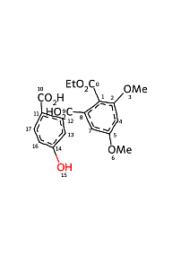 CCOC(=O)c1c(OC)cc(OC)cc1C(=O)O.O=C(O)c1ccc(O)cc1